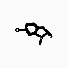 CN1C(=S)Cc2ccc(Cl)cc21